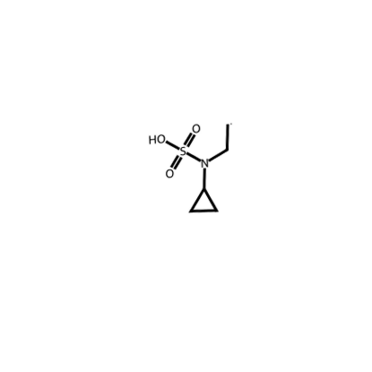 [CH2]CN(C1CC1)S(=O)(=O)O